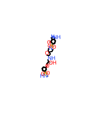 CNS(=O)(=O)c1cccc(OC[C@@H](O)CNC2COC3(CCN(S(=O)(=O)c4ccc5[nH]ncc5c4OC)CC3)C2)c1